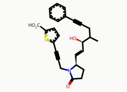 CC(CC#Cc1ccccc1)[C@H](O)/C=C/[C@H]1CCC(=O)N1CC#Cc1ccc(C(=O)O)s1